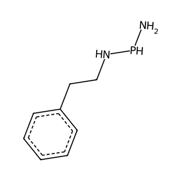 NPNCCc1ccccc1